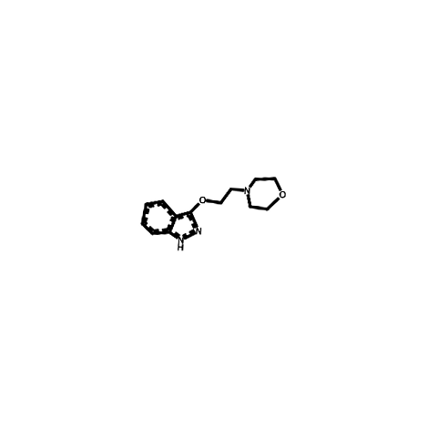 c1ccc2c(OCCN3CCOCC3)n[nH]c2c1